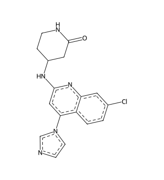 O=C1CC(Nc2cc(-n3ccnc3)c3ccc(Cl)cc3n2)CCN1